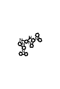 N#Cc1cc(C#N)c(-n2c3ccccc3c3cc(-n4c5ccccc5c5ccccc54)ccc32)cc1-n1c2ccccc2c2cc(-n3c4ccccc4c4ccccc43)ccc21